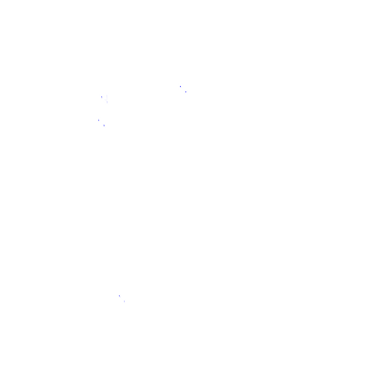 COc1ccc2c(c1)ncc1c2c(-c2ccc(C#N)cc2)nn1C